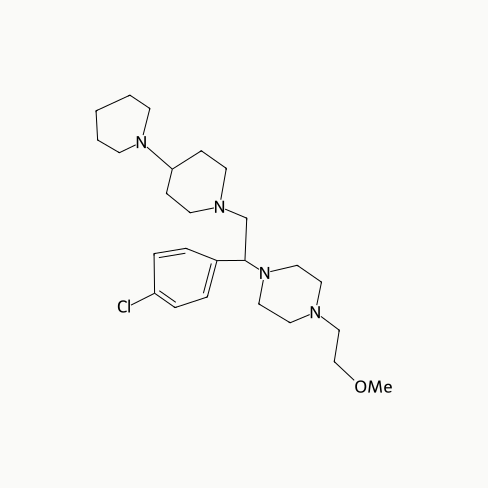 COCCN1CCN(C(CN2CCC(N3CCCCC3)CC2)c2ccc(Cl)cc2)CC1